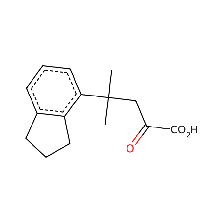 CC(C)(CC(=O)C(=O)O)c1cccc2c1CCC2